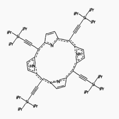 CC(C)[Si](C#Cc1c2nc(c(C#C[Si](C(C)C)(C(C)C)C(C)C)c3ccc([nH]3)c(C#C[Si](C(C)C)(C(C)C)C(C)C)c3nc(c(C#C[Si](C(C)C)(C(C)C)C(C)C)c4ccc1[nH]4)C=C3)C=C2)(C(C)C)C(C)C